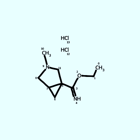 CCOC(=N)C12CC1CN(C)C2.Cl.Cl